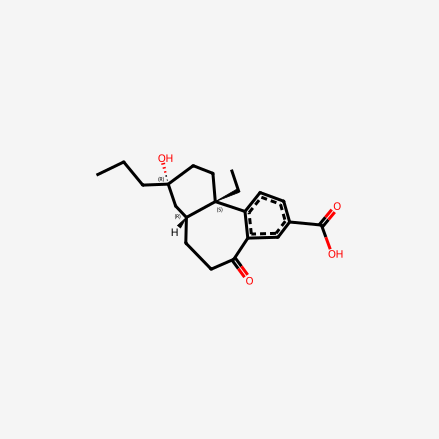 CCC[C@@]1(O)CC[C@]2(CC)c3ccc(C(=O)O)cc3C(=O)CC[C@@H]2C1